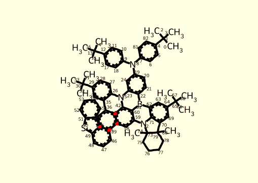 CC(C)(C)c1ccc(N(c2ccc(C(C)(C)C)cc2)c2ccc3c(c2)N(c2ccc(C(C)(C)C)cc2-c2ccccc2)c2cc(-c4cccc5sc6ccccc6c45)cc4c2B3c2cc(C(C)(C)C)cc3c2N4C2(C)CCCCC32C)cc1